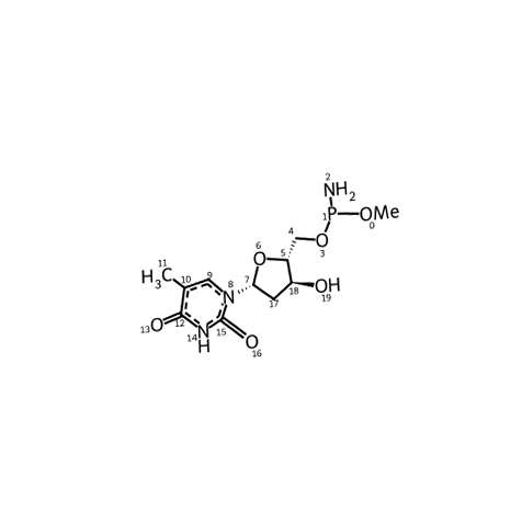 COP(N)OC[C@H]1O[C@@H](n2cc(C)c(=O)[nH]c2=O)C[C@@H]1O